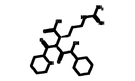 N=C(N)NCCC[C@@H](C(=O)O)N(C(=O)C1CCCCN1)C(=O)C(O)C1CCCCC1